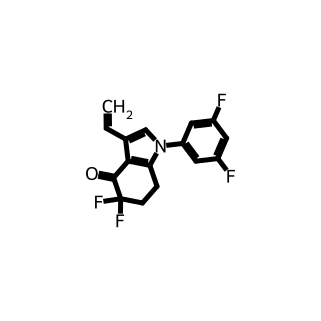 C=Cc1cn(-c2cc(F)cc(F)c2)c2c1C(=O)C(F)(F)CC2